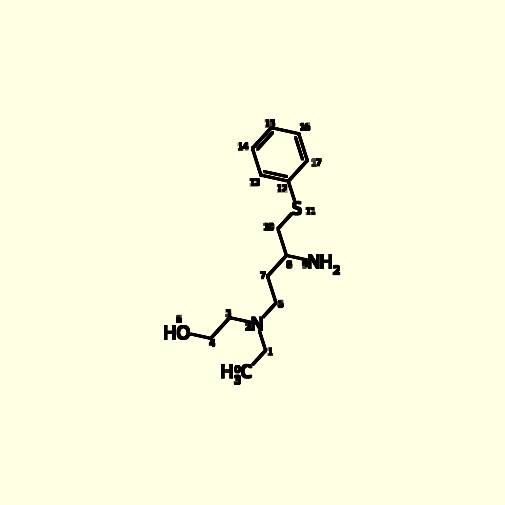 CCN(CCO)CCC(N)CSc1ccccc1